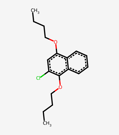 CCCCOc1cc(Cl)c(OCCCC)c2ccccc12